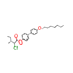 CCCCCCCCOc1ccc(-c2ccc(OC(=O)[C@@H](Cl)[C@@H](C)CC)cc2)cc1